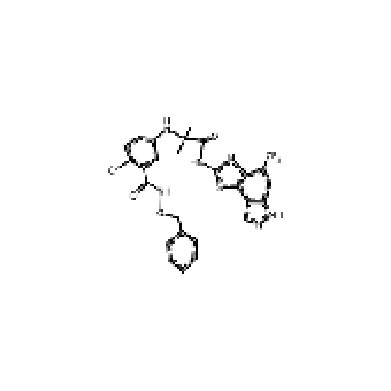 CC(C)(Nc1ccc(Cl)c(C(=O)NOCc2ccccc2)c1)C(=O)Nc1nc2c(C(F)(F)F)cc3[nH]ncc3c2s1